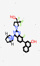 OCC1(C(F)(F)F)CCN(c2nc(N3C[C@H]4CC[C@@H](C3)N4)c3ccc(-c4cc(O)cc5ccccc45)c(F)c3n2)C1